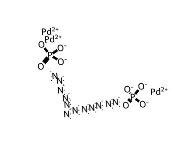 O=P([O-])([O-])[O-].O=P([O-])([O-])[O-].[N].[N].[N].[N].[N].[N].[N].[N].[N].[N].[N].[N].[Pd+2].[Pd+2].[Pd+2]